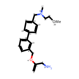 C=C(CN)OCc1cccc(-c2ccc(CN(C)CCOC)cc2)c1